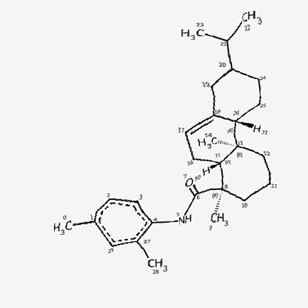 Cc1ccc(NC(=O)[C@]2(C)CCC[C@@]3(C)[C@H]2CC=C2CC(C(C)C)CC[C@@H]23)c(C)c1